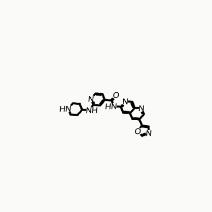 O=C(Nc1cc2cc(-c3cnco3)cnc2cn1)c1ccnc(NC2CCNCC2)c1